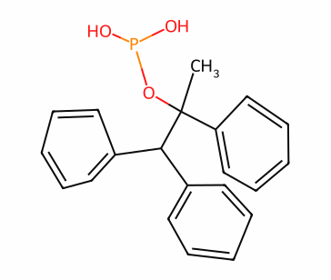 CC(OP(O)O)(c1ccccc1)C(c1ccccc1)c1ccccc1